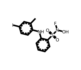 Cc1cc(I)ccc1Nc1ccccc1S(=O)(=O)N(O)F